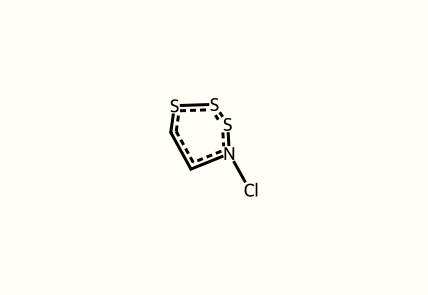 Cln1ccsss1